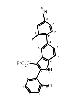 CCOC(=O)c1c(-c2ccccc2Cl)[nH]c2ccc(-c3ccc(C#N)cc3C)cc12